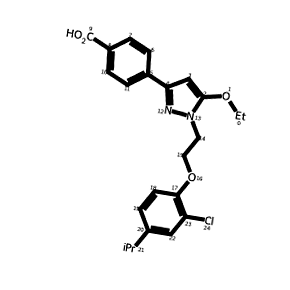 CCOc1cc(-c2ccc(C(=O)O)cc2)nn1CCOc1ccc(C(C)C)cc1Cl